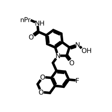 CCCNC(=O)c1ccc2c(c1)N(Cc1cc(F)cc3c1OCOC3)C(=O)/C2=N\O